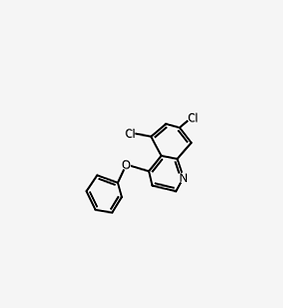 Clc1cc(Cl)c2c(Oc3ccccc3)ccnc2c1